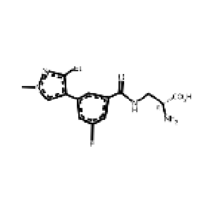 CCc1nn(C)cc1-c1cc(F)cc(C(=O)NC[C@@H](N)C(=O)O)c1